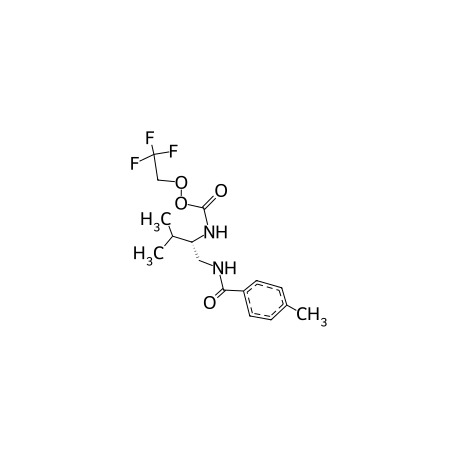 Cc1ccc(C(=O)NC[C@@H](NC(=O)OOCC(F)(F)F)C(C)C)cc1